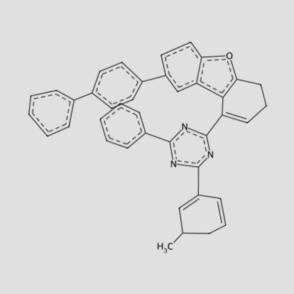 CC1C=C(c2nc(C3=CCCc4oc5ccc(-c6ccc(-c7ccccc7)cc6)cc5c43)nc(-c3ccccc3)n2)C=CC1